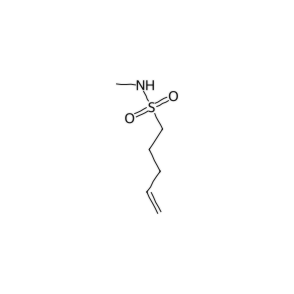 C=CCCCS(=O)(=O)NC